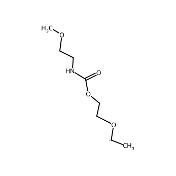 C[CH]OCCOC(=O)NCCOC